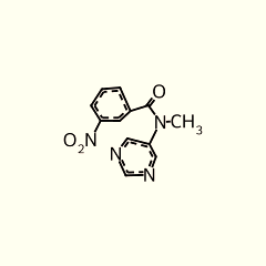 CN(C(=O)c1cccc([N+](=O)[O-])c1)c1cncnc1